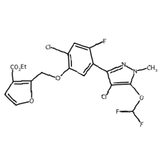 CCOC(=O)c1ccoc1COc1cc(-c2nn(C)c(OC(F)F)c2Cl)c(F)cc1Cl